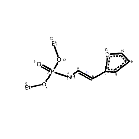 CCOP(=O)(N/C=C/c1ccco1)OCC